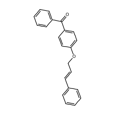 O=C(c1ccccc1)c1ccc(OCC=Cc2ccccc2)cc1